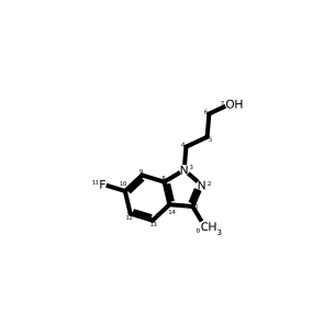 Cc1nn(CCCO)c2cc(F)ccc12